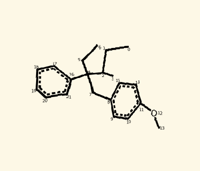 CCC(C)C(CC)(Cc1ccc(OC)cc1)c1ccccc1